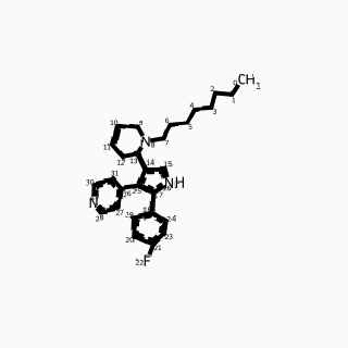 CCCCCCCCN1CC=CCC1c1c[nH]c(-c2ccc(F)cc2)c1-c1ccncc1